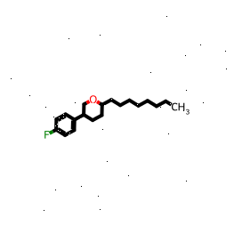 CCCCCCCCC1CCC(c2ccc(F)cc2)CO1